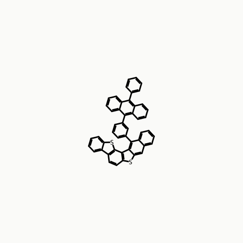 c1ccc(-c2c3ccccc3c(-c3cccc(-c4c5ccccc5cc5sc6ccc7c8ccccc8sc7c6c45)c3)c3ccccc23)cc1